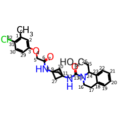 Cc1cc(OCC(=O)NC23CC(NC(=O)N4CCc5ccccc5C4CC(=O)O)(C2)C3)ccc1Cl